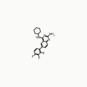 Nc1nc(NC2CCCCC2)c2cc(-c3ccc(F)c(F)c3F)ccc2n1